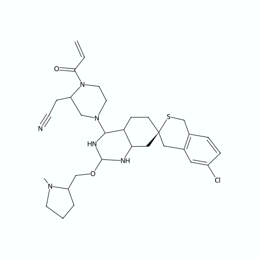 C=CC(=O)N1CCN(C2NC(OCC3CCCN3C)NC3C[C@]4(CCC32)Cc2cc(Cl)ccc2CS4)CC1CC#N